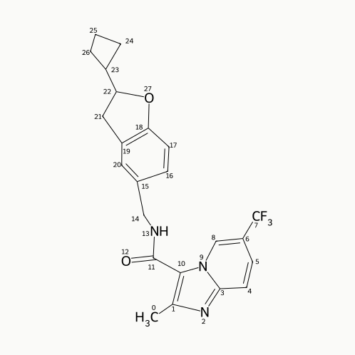 Cc1nc2ccc(C(F)(F)F)cn2c1C(=O)NCc1ccc2c(c1)CC(C1CCC1)O2